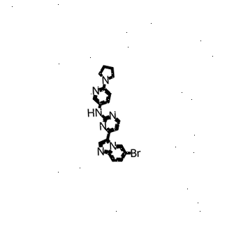 Brc1ccc2ncc(-c3ccnc(Nc4ccc(N5CCCC5)nc4)n3)n2c1